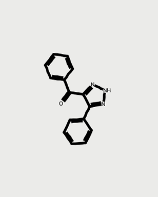 O=C(c1ccccc1)c1n[nH]nc1-c1ccccc1